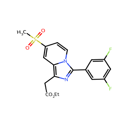 CCOC(=O)Cc1nc(-c2cc(F)cc(F)c2)n2ccc(S(C)(=O)=O)cc12